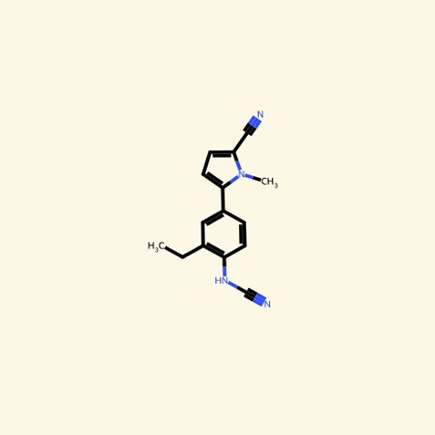 CCc1cc(-c2ccc(C#N)n2C)ccc1NC#N